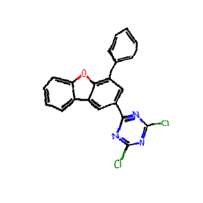 Clc1nc(Cl)nc(-c2cc(-c3ccccc3)c3oc4ccccc4c3c2)n1